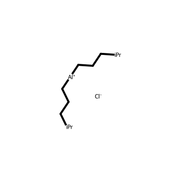 CC(C)CC[CH2][Al+][CH2]CCC(C)C.[Cl-]